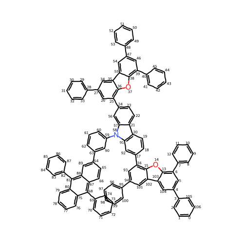 c1ccc(-c2cc(-c3ccccc3)c3oc4c(-c5ccc6c7ccc(-c8cc(-c9ccccc9)cc9c8oc8c(-c%10ccccc%10)cc(-c%10ccccc%10)cc89)cc7n(-c7cccc(-c8ccc9c(-c%10ccccc%10)c%10ccccc%10c(-c%10ccccc%10)c9c8)c7)c6c5)cc(-c5ccccc5)cc4c3c2)cc1